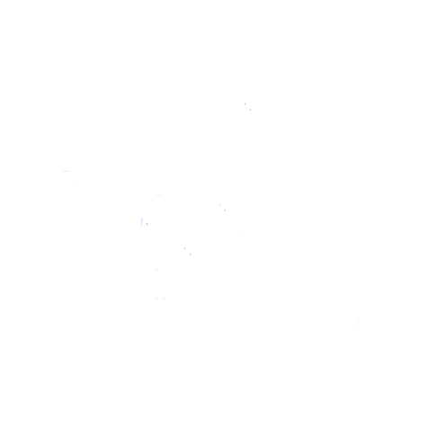 C=CCN1CC(=O)N2[C@@H]1CN(Cc1cccnc1-c1ccccc1)C(=O)[C@@H]2Cc1ccc(O)cc1